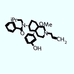 C=CCN1CC[C@@]2(c3cccc(O)c3)C[C@H](N(CC(C)C)C(=O)c3ccccc3)CC[C@]2(OC)C1